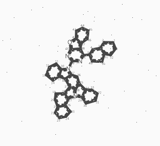 c1ccc2cc(-c3nc(-n4c5ccccc5c5c6c7ccc8ccccc8c7n7c8ccccc8c(cc54)c67)nc4oc5ccccc5c34)ccc2c1